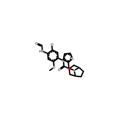 COc1cc(NC=O)c(Cl)cc1NC(=O)C1CC2CCC(C1)N2Cc1cccs1